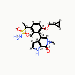 Cc1c(C(C)S(N)(=O)=O)ccc(OCC2CC2)c1-c1cn(C)c(=O)c2[nH]ccc12